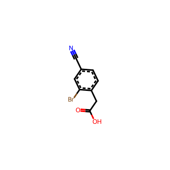 N#Cc1ccc(CC(=O)O)c(Br)c1